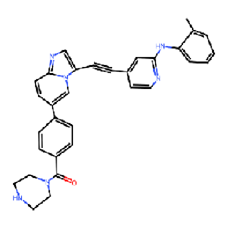 Cc1ccccc1Nc1cc(C#Cc2cnc3ccc(-c4ccc(C(=O)N5CCNCC5)cc4)cn23)ccn1